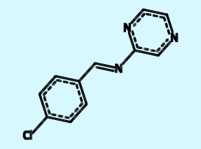 Clc1ccc(C=Nc2cnccn2)cc1